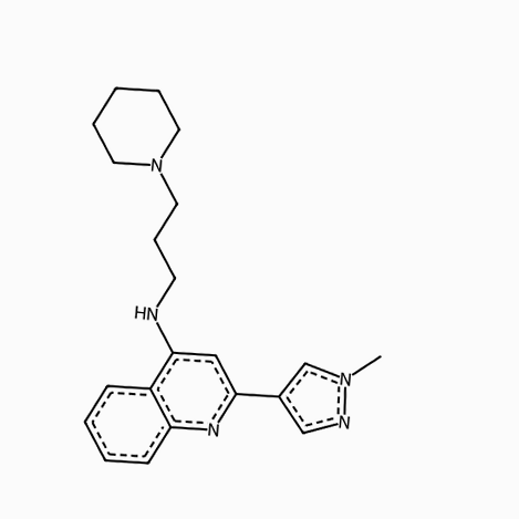 Cn1cc(-c2cc(NCCCN3CCCCC3)c3ccccc3n2)cn1